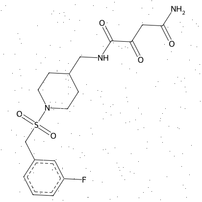 NC(=O)CC(=O)C(=O)NCC1CCN(S(=O)(=O)Cc2cccc(F)c2)CC1